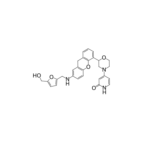 O=c1cc(N2CCOC(c3cccc4c3Oc3ccc(NCc5ccc(CO)o5)cc3C4)C2)cc[nH]1